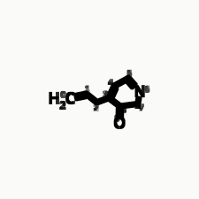 C=CCC1=CC=N[C]C1=O